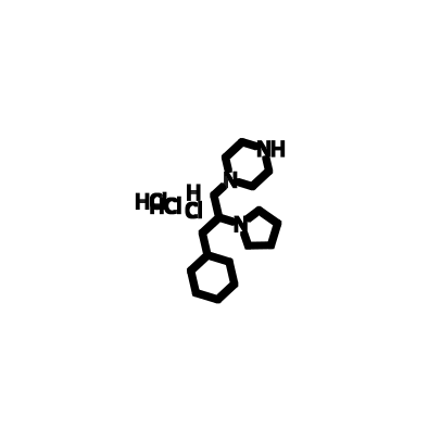 C1CCC(CC(CN2CCNCC2)N2CCCC2)CC1.Cl.Cl.Cl